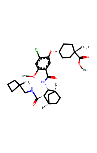 CC(C)Oc1cc(F)c(O[C@H]2CC[C@@](C(=O)O)(C(=O)OC(C)(C)C)CC2)cc1C(=O)N[C@@H]1[C@H]2CC[C@H](C2)[C@@H]1C(=O)NCC1(C)CCC1